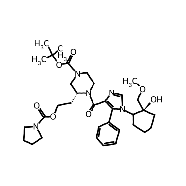 COC[C@]1(O)CCCCC1n1cnc(C(=O)N2CCN(C(=O)OC(C)(C)C)C[C@H]2CCOC(=O)N2CCCC2)c1-c1ccccc1